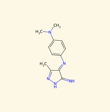 CC1=NNC(=N)C1=Nc1ccc(N(C)C)cc1